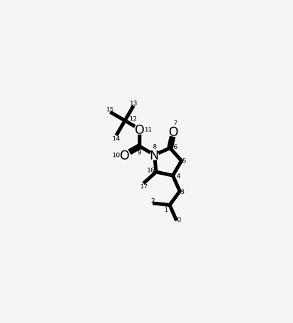 CC(C)CC1CC(=O)N(C(=O)OC(C)(C)C)C1C